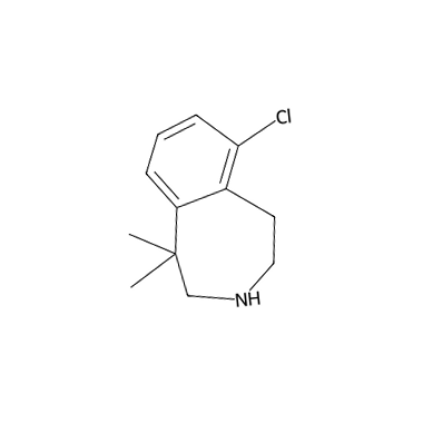 CC1(C)CNCCc2c(Cl)cccc21